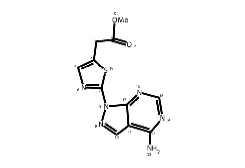 COC(=O)Cc1cnc(-n2ncc3c(N)ncnc32)s1